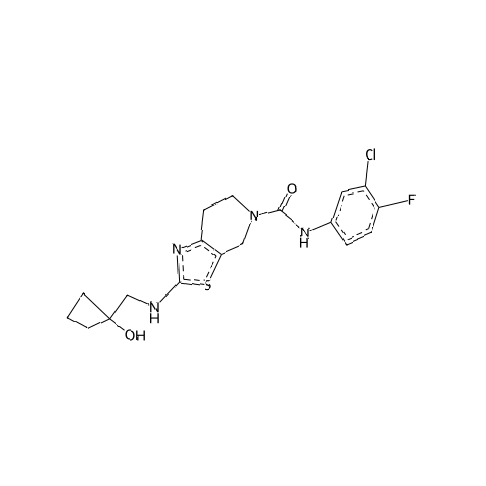 O=C(Nc1ccc(F)c(Cl)c1)N1CCc2nc(NCC3(O)CCC3)sc2C1